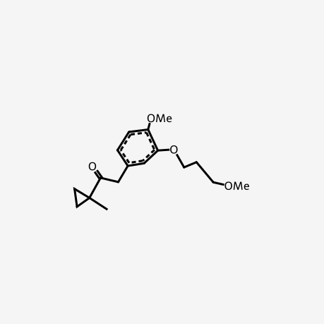 COCCCOc1cc(CC(=O)C2(C)CC2)ccc1OC